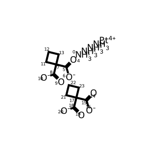 N.N.N.N.O=C([O-])C1(C(=O)[O-])CCC1.O=C([O-])C1(C(=O)[O-])CCC1.[Pt+4]